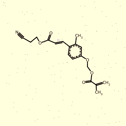 C=C(C)C(=O)OCOc1ccc(/C=C/C(=O)OCCC#N)c(C)c1